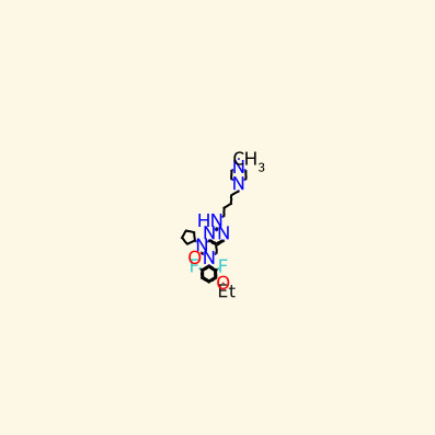 CCOc1ccc(F)c(N2Cc3cnc(NCCCCCN4CCN(C)CC4)nc3N(C3CCCC3)C2=O)c1F